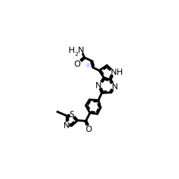 Cc1ncc(C(=O)c2ccc(-c3cnc4[nH]cc(/C=C/C(N)=O)c4n3)cc2)s1